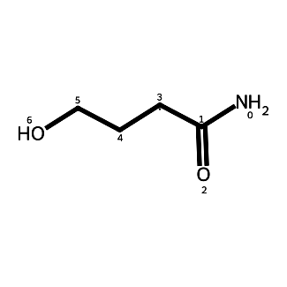 NC(=O)[CH]CCO